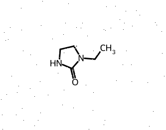 CCN1[CH]CNC1=O